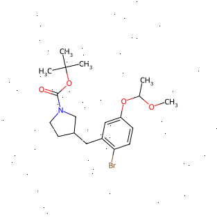 COC(C)Oc1ccc(Br)c(CC2CCN(C(=O)OC(C)(C)C)C2)c1